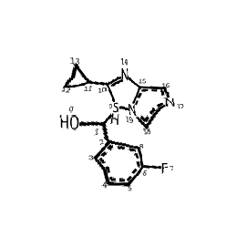 OC(c1cccc(F)c1)[SH]1C(C2CC2)=Nc2cncn21